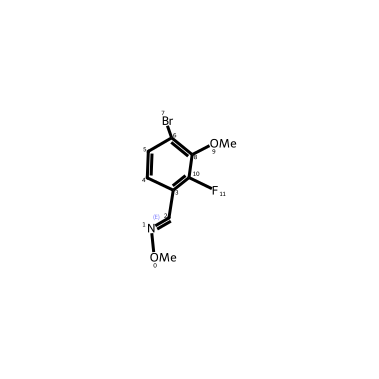 CO/N=C/c1ccc(Br)c(OC)c1F